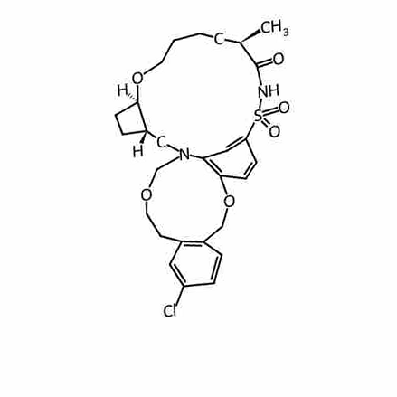 C[C@@H]1CCCCO[C@@H]2CC[C@H]2CN2COCCc3cc(Cl)ccc3COc3ccc(cc32)S(=O)(=O)NC1=O